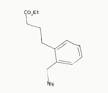 CCOC(=O)CCCc1ccccc1C[NH]